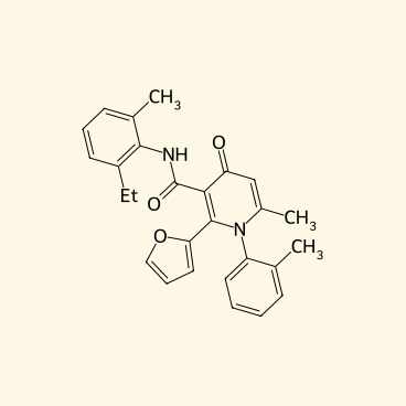 CCc1cccc(C)c1NC(=O)c1c(-c2ccco2)n(-c2ccccc2C)c(C)cc1=O